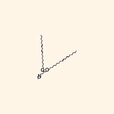 CCCCCC=CCC=CCCCCCCCCOCC(CCN1CCC1)OCCCCCCCCC=CCC=CCCCCC